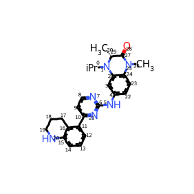 CC(C)N1c2cc(Nc3nccc(-c4cccc5c4CCCN5)n3)ccc2N(C)C(=O)[C@H]1C